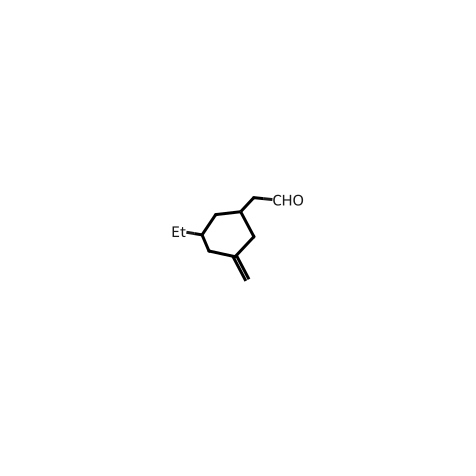 C=C1CC(CC)CC(CC=O)C1